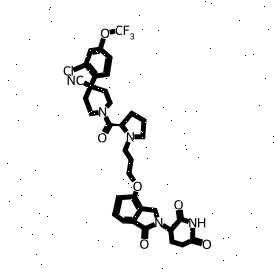 N#CC1(c2ccc(OC(F)(F)F)cc2Cl)CCN(C(=O)[C@H]2CCCN2CCCOc2cccc3c2CN(C2CCC(=O)NC2=O)C3=O)CC1